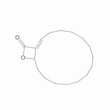 O=C1OC2CCCCCCCCCCCCC/C=C/12